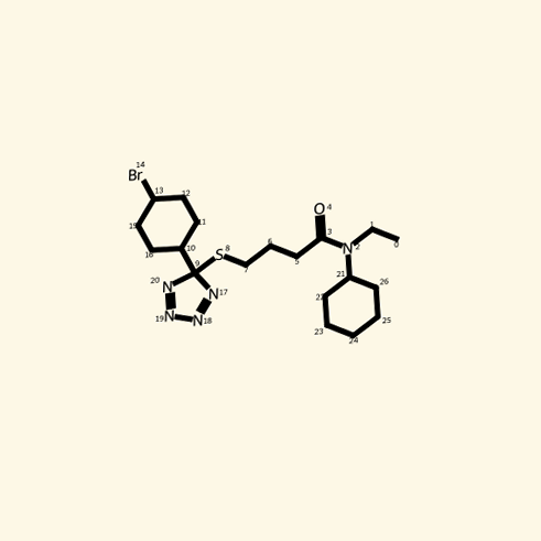 CCN(C(=O)CCCSC1(C2CCC(Br)CC2)N=NN=N1)C1CCCCC1